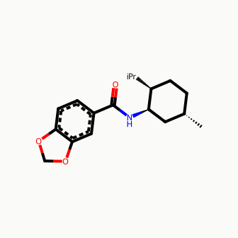 CC(C)[C@H]1CC[C@H](C)C[C@H]1NC(=O)c1ccc2c(c1)OCO2